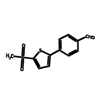 CS(=O)(=O)c1ccc(-c2ccc(C=O)cc2)s1